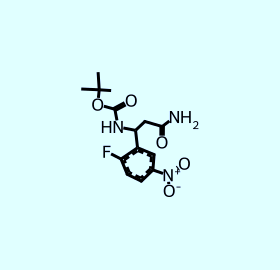 CC(C)(C)OC(=O)NC(CC(N)=O)c1cc([N+](=O)[O-])ccc1F